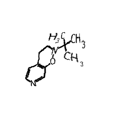 CC(C)(C)N1CCc2ccncc2O1